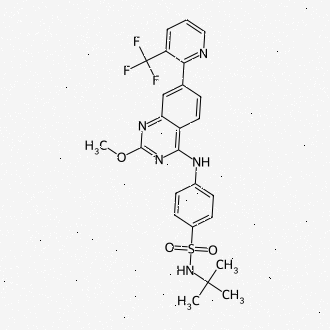 COc1nc(Nc2ccc(S(=O)(=O)NC(C)(C)C)cc2)c2ccc(-c3ncccc3C(F)(F)F)cc2n1